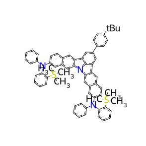 CC(C)(C)c1ccc(-c2cc3c4cc5ccc(N(c6ccccc6)c6ccccc6S(C)(C)C)cc5cc4n4c5cc6cc(N(c7ccccc7)c7ccccc7S(C)(C)C)ccc6cc5c(c2)c34)cc1